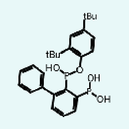 CC(C)(C)c1ccc(OP(O)c2c(-c3ccccc3)cccc2P(O)O)c(C(C)(C)C)c1